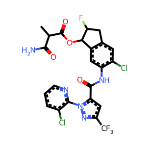 CC(C(N)=O)C(=O)OC1c2cc(NC(=O)c3cc(C(F)(F)F)nn3-c3ncccc3Cl)c(Cl)cc2CC1F